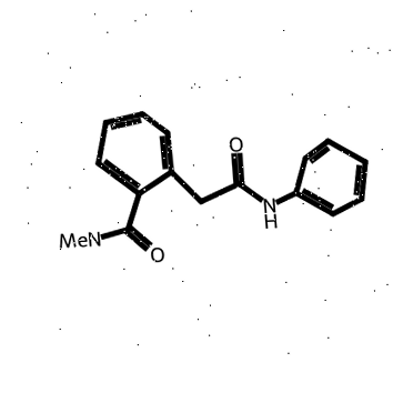 CNC(=O)c1ccccc1CC(=O)Nc1ccccc1